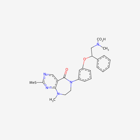 CSc1ncc2c(n1)N(C)CCN(c1cccc(OC(CN(C)C(=O)O)c3ccccc3)c1)C2=O